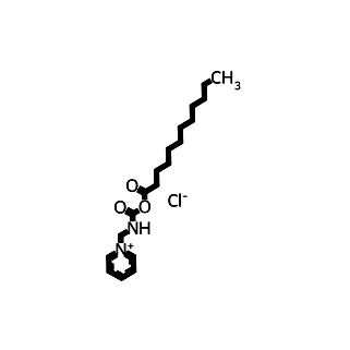 CCCCCCCCCCCC(=O)OC(=O)NC[n+]1ccccc1.[Cl-]